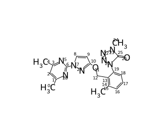 Cc1cc(C)nc(-n2ccc(OCc3c(C)cccc3-n3nnn(C)c3=O)n2)n1